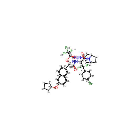 NC1CC2CCC(C1)N2C(=O)[C@@H](NC(=O)[C@@H](OC(=O)C(F)(F)F)c1ccc2cc(OC3CCCC3)ccc2c1)C(F)(F)c1ccc(Br)cc1